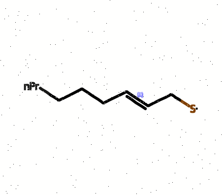 CCCCCC/C=C/C[S]